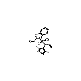 C=CC(c1c(C)noc1C)S(=O)(=O)N1c2ccccc2OC1C=O